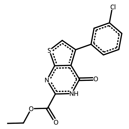 CCOC(=O)c1nc2scc(-c3cccc(Cl)c3)c2c(=O)[nH]1